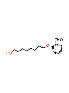 O=Cc1ccccc1OCCCCCCCCO